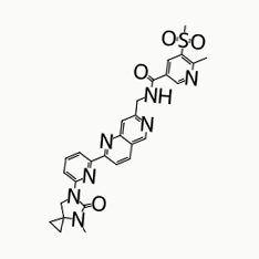 Cc1ncc(C(=O)NCc2cc3nc(-c4cccc(N5CC6(CC6)N(C)C5=O)n4)ccc3cn2)cc1S(C)(=O)=O